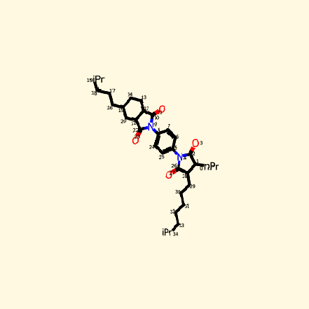 CCCC1C(=O)N(c2ccc(N3C(=O)C4CCC(CCCC(C)C)CC4C3=O)cc2)C(=O)C1CCCCCC(C)C